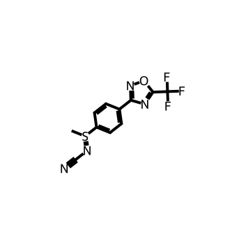 CS(=NC#N)c1ccc(-c2noc(C(F)(F)F)n2)cc1